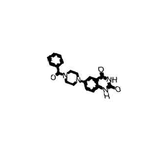 O=C(c1ccccc1)N1CCN(c2ccc3[nH]c(=O)[nH]c(=O)c3c2)CC1